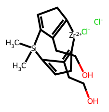 C[Si]1(C)C2=CC[C](=C2CCO)[Zr+2][C]2=C(CCO)C1=CC2.[Cl-].[Cl-]